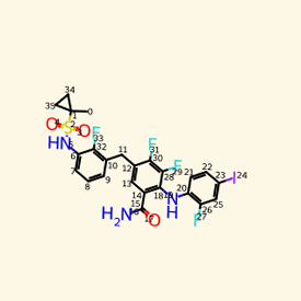 CC1(S(=O)(=O)Nc2cccc(Cc3cc(C(N)=O)c(Nc4ccc(I)cc4F)c(F)c3F)c2F)CC1